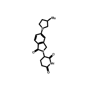 CC(C)(C)C1CCN(c2ccc3c(c2)CN(C2CCC(=O)NC2=O)C3=O)C1